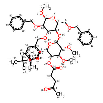 CO[C@H]1O[C@H](COCc2ccccc2)[C@@H](O[C@@H]2O[C@@H](CO[Si](C)(C)C(C)(C)C)[C@@H](OC(=O)CCC(C)=O)[C@H](OC)[C@H]2OC)[C@H](OCc2ccccc2)[C@H]1OCc1ccccc1